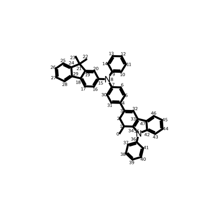 CC1CC(c2ccc(N(c3ccccc3)c3ccc4c(c3)C(C)(C)c3ccccc3-4)cc2)=Cc2c1n(-c1ccccc1)c1ccccc21